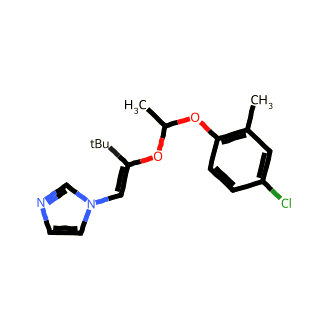 Cc1cc(Cl)ccc1OC(C)O/C(=C/n1ccnc1)C(C)(C)C